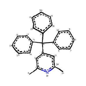 Cc1cc(C(c2ccccc2)(c2ccccc2)c2ccccc2)cc(C)n1